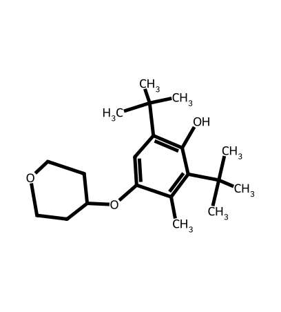 Cc1c(OC2CCOCC2)cc(C(C)(C)C)c(O)c1C(C)(C)C